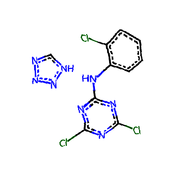 Clc1nc(Cl)nc(Nc2ccccc2Cl)n1.c1nnn[nH]1